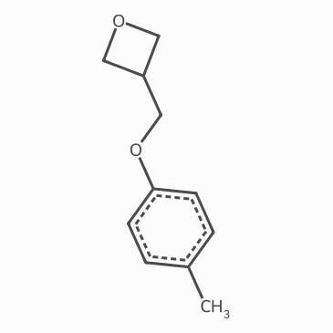 Cc1ccc(OCC2COC2)cc1